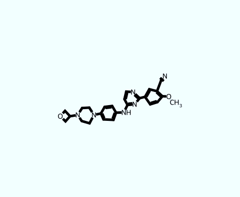 COc1ccc(-c2nccc(Nc3ccc(N4CCN(C5COC5)CC4)cc3)n2)cc1C#N